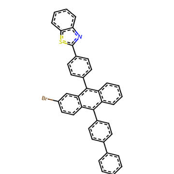 Brc1ccc2c(-c3ccc(-c4ccccc4)cc3)c3ccccc3c(-c3ccc(-c4nc5ccccc5s4)cc3)c2c1